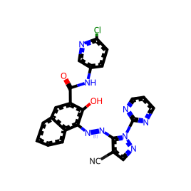 N#Cc1cnn(-c2ncccn2)c1/N=N/c1c(O)c(C(=O)Nc2ccc(Cl)nc2)cc2ccccc12